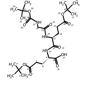 CC(C)(C)OC(=O)CC[C@H](NC(=O)[C@H](CCC(=O)OC(C)(C)C)NC(=O)CNC(=O)OC(C)(C)C)C(=O)O